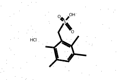 Cc1cc(C)c(C)c(CS(=O)(=O)O)c1C.Cl